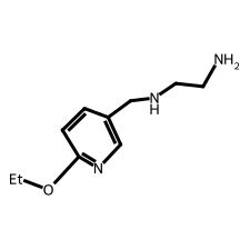 CCOc1ccc(CNCCN)cn1